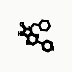 O=c1[nH]c2ncc(-c3ccncc3)nc2n1CC1CCCCC1